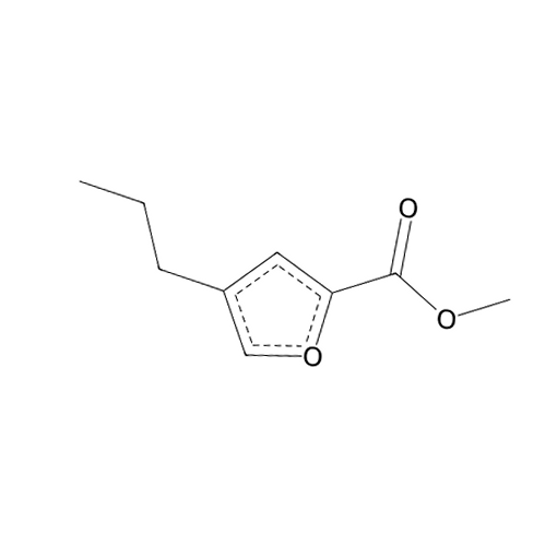 CCCc1coc(C(=O)OC)c1